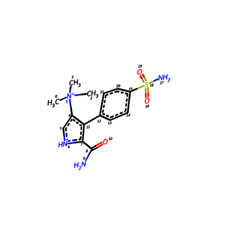 C[N+](C)(C)c1c[nH]c(C(N)=O)c1-c1ccc(S(N)(=O)=O)cc1